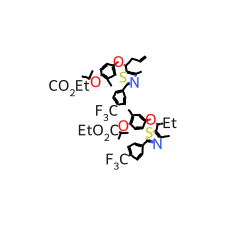 C=CCC(Oc1ccc(OC(C)(C)C(=O)OCC)c(C)c1)c1sc(-c2ccc(C(F)(F)F)cc2)nc1C.CCOC(=O)C(C)(C)Oc1ccc(OC(CC)c2sc(-c3ccc(C(F)(F)F)cc3)nc2C)cc1C